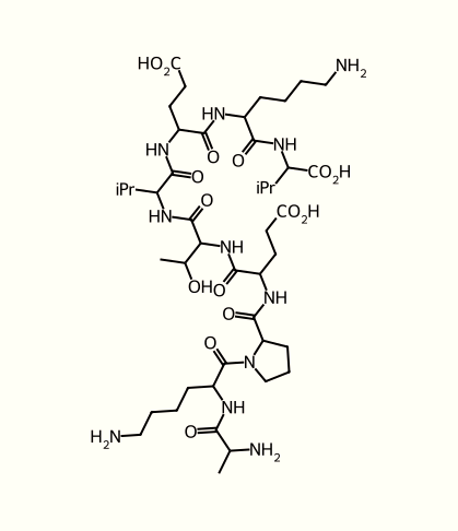 CC(N)C(=O)NC(CCCCN)C(=O)N1CCCC1C(=O)NC(CCC(=O)O)C(=O)NC(C(=O)NC(C(=O)NC(CCC(=O)O)C(=O)NC(CCCCN)C(=O)NC(C(=O)O)C(C)C)C(C)C)C(C)O